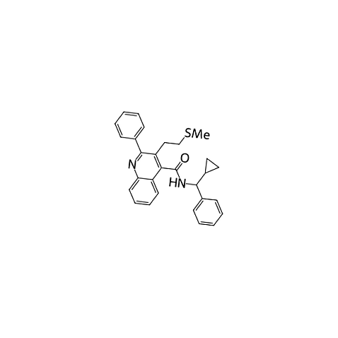 CSCCc1c(-c2ccccc2)nc2ccccc2c1C(=O)NC(c1ccccc1)C1CC1